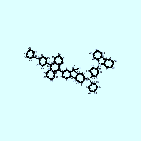 CC1(C)c2cc(-c3c4ccccc4c(-c4ccc(-c5ccccc5)cc4)c4ccccc34)ccc2-c2ccc(N(c3ccccc3)c3ccc(-n4c5ccccc5c5ccccc54)cc3)cc21